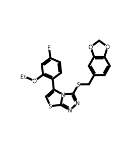 CCOc1cc(F)ccc1-c1csc2nnc(SCc3ccc4c(c3)OCO4)n12